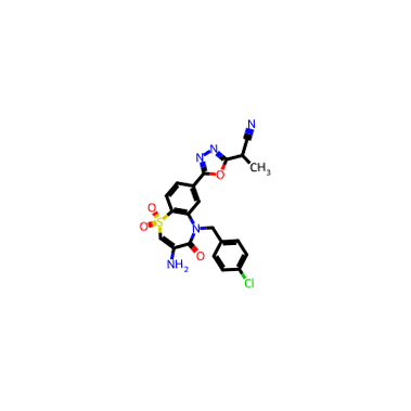 CC(C#N)c1nnc(-c2ccc3c(c2)N(Cc2ccc(Cl)cc2)C(=O)C(N)=CS3(=O)=O)o1